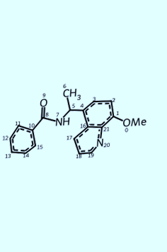 COc1ccc(C(C)NC(=O)c2ccccc2)c2cccnc12